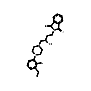 CCc1cccc(N2CCN(CC(O)CCN3C(=O)c4ccccc4C3=O)CC2)c1Cl